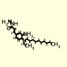 CCCCCCCCCCN(CC)C1C=CC(/C=C/C(=O)NN)=CC1N